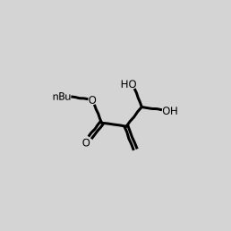 C=C(C(=O)OCCCC)C(O)O